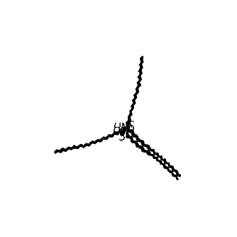 CCCCCCCCCCCCCCCCCCCCCCCCP(=S)(CCCCCCCCCCCCCCCCCCCCCCCC)NP(=S)(CCCCCCCCCCCCCCCCCCCCCCCC)CCCCCCCCCCCCCCCCCCCCCCCC